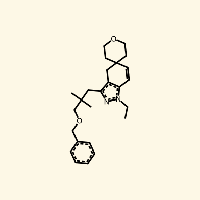 CCn1nc(CC(C)(C)COCc2ccccc2)c2c1C=CC1(CCOCC1)C2